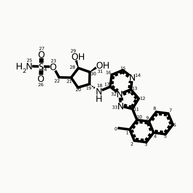 Cc1ccc2ccccc2c1-c1cc2nccc(N[C@@H]3CC(COS(N)(=O)=O)[C@@H](O)[C@H]3O)n2n1